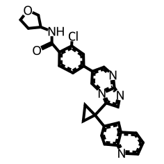 O=C(NC1CCOC1)c1ccc(-c2cnc3ncc(C4(c5ccc6ncccc6c5)CC4)n3c2)cc1Cl